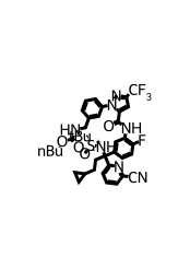 CCCCOC(=O)NCc1cccc(-n2nc(C(F)(F)F)cc2C(=O)Nc2cc(C(CCC3CC3)(N[S@+]([O-])C(C)(C)C)c3cccc(C#N)n3)ccc2F)c1